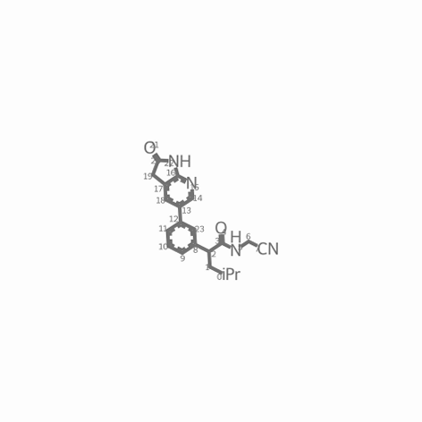 CC(C)CC(C(=O)NCC#N)c1cccc(-c2cnc3c(c2)CC(=O)N3)c1